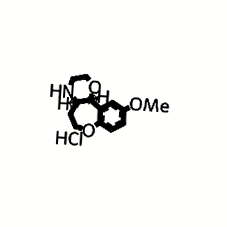 COc1ccc2c(c1)[C@H]1OCCN[C@@H]1CCO2.Cl